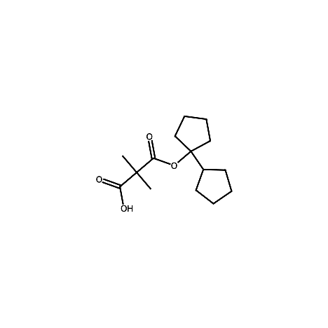 CC(C)(C(=O)O)C(=O)OC1(C2CCCC2)CCCC1